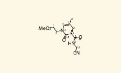 COCCn1cc(C)cc(C(=O)NCC#N)c1=O